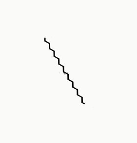 C[CH]CCCCCCCCCCCCCCCCC.[NaH]